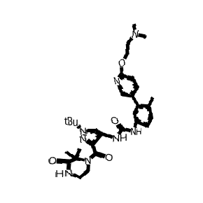 Cc1ccc(NC(=O)Nc2cn(C(C)(C)C)nc2C(=O)N2CCNC(=O)C2(C)C)cc1-c1ccc(OCCN(C)C)nc1